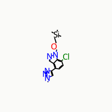 Cn1cc(-c2ccc(Cl)c3c2cnn3COCC[Si](C)(C)C)nn1